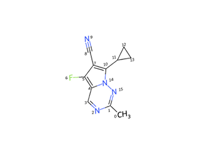 Cc1ncc2c(F)c(C#N)c(C3CC3)n2n1